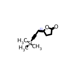 C[Si](C)(C)C#C/C=C1\CCC(=O)O1